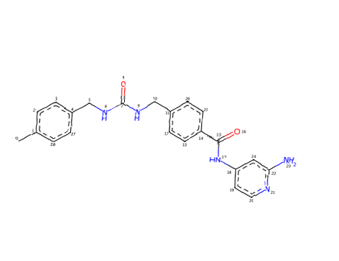 Cc1ccc(CNC(=O)NCc2ccc(C(=O)Nc3ccnc(N)c3)cc2)cc1